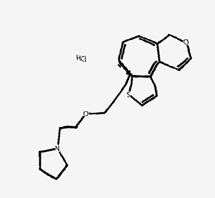 C1=CC2=C3C=CSC34C=C(COCCN3CCCC3)C=CC4=CC=C2CO1.Cl